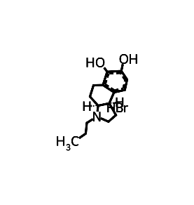 Br.CCCN1CC[C@@H]2c3ccc(O)c(O)c3CC[C@@H]21